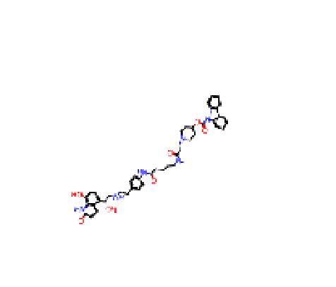 CN(CCCCC(=O)Nc1ccc(CCNC[C@H](O)c2ccc(O)c3[nH]c(=O)ccc23)cc1)C(=O)CCN1CCC(OC(=O)Nc2ccccc2-c2ccccc2)CC1